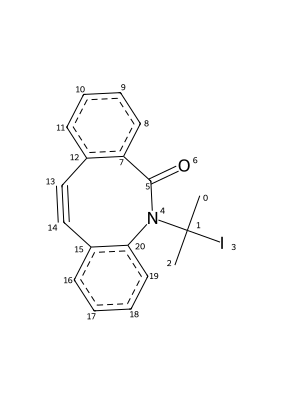 CC(C)(I)N1C(=O)c2ccccc2C#Cc2ccccc21